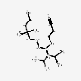 CC(C)N(C(C)C)P(OCCC#N)OSSC(C)(C)CCO